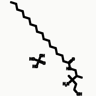 CCCCCCCCCCCCCCCCCC(=O)NCC(C)C(C)(N)CCO.O=P(O)(O)O